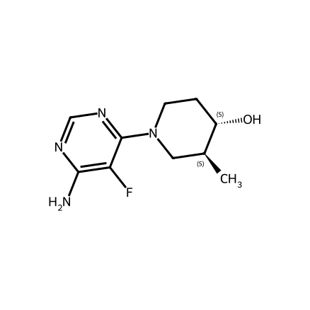 C[C@H]1CN(c2ncnc(N)c2F)CC[C@@H]1O